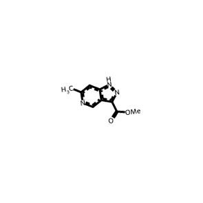 COC(=O)c1n[nH]c2cc(C)ncc12